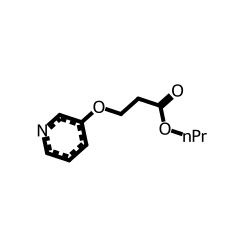 CCCOC(=O)CCOc1cccnc1